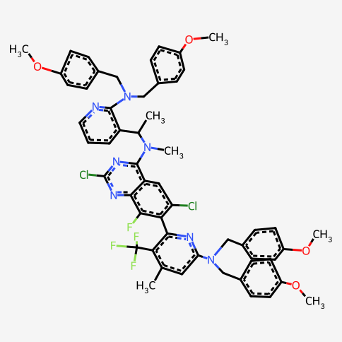 COc1ccc(CN(Cc2ccc(OC)cc2)c2cc(C)c(C(F)(F)F)c(-c3c(Cl)cc4c(N(C)C(C)c5cccnc5N(Cc5ccc(OC)cc5)Cc5ccc(OC)cc5)nc(Cl)nc4c3F)n2)cc1